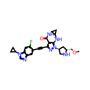 COC[C@H]1C[C@H](n2nc(C#Cc3cc4ncn(C5CC5)c4cc3F)c(C(N)=O)c2NC2CC2)CN1